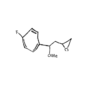 COC(CC1CO1)c1ccc(F)cc1